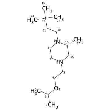 CC(C)OCCN1CCN(CCC(C)(C)C)[C@H](C)C1